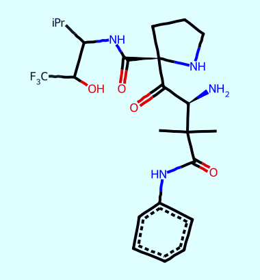 CC(C)C(NC(=O)[C@@]1(C(=O)[C@@H](N)C(C)(C)C(=O)Nc2ccccc2)CCCN1)C(O)C(F)(F)F